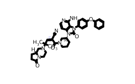 CC(C)(/C=C(/C#N)C(=O)N1CCC[C@@H](n2c(=O)n(-c3ccc(Oc4ccccc4)cc3)c3c(N)nccc32)C1)N1CCN2C(=O)CC[C@H]2C1